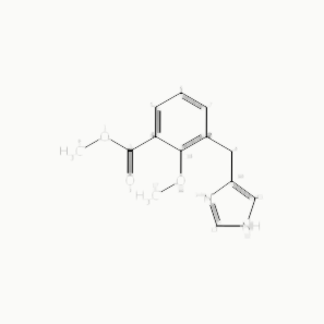 COC(=O)c1cccc(Cc2c[nH]cn2)c1OC